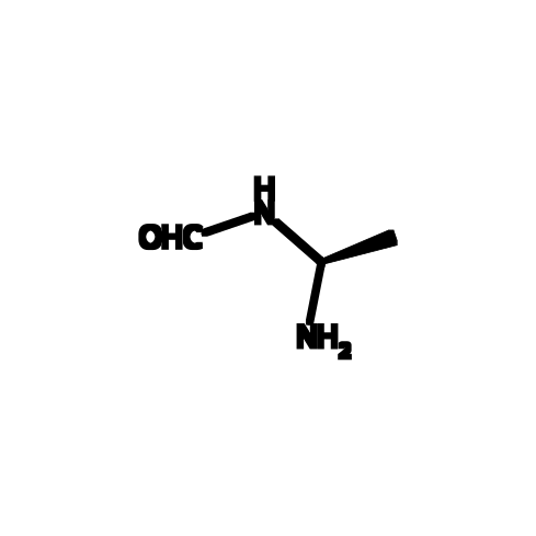 C[C@@H](N)NC=O